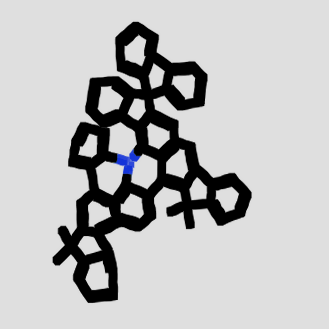 CC1(C)c2ccccc2-c2ccc(-c3ccccc3N(c3ccccc3-c3cccc4c3C(C)(C)c3ccccc3-4)c3cccc4c3-c3ccccc3C43c4ccccc4-c4ccccc43)cc21